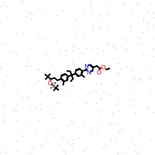 CCOC(=O)Cc1cnc(-c2ccc(C(CC)(CC)c3ccc(CCC(O[Si](C)(C)C(C)(C)C)C(C)(C)C)c(C)c3)cc2C)nc1